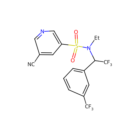 CCN(C(c1cccc(C(F)(F)F)c1)C(F)(F)F)S(=O)(=O)c1cncc(C#N)c1